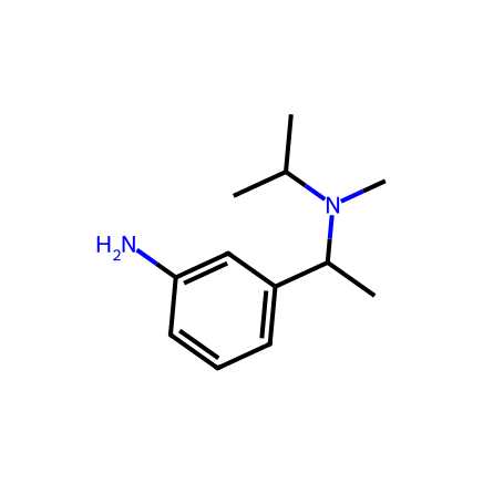 CC(C)N(C)C(C)c1cccc(N)c1